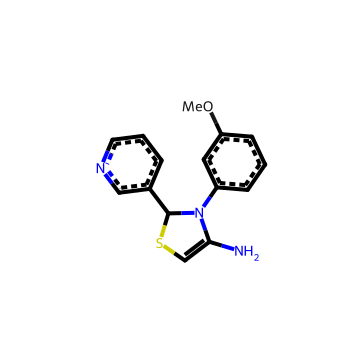 COc1cccc(N2C(N)=CSC2c2cccnc2)c1